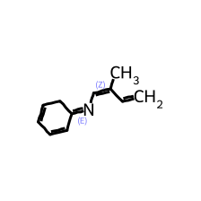 C=C/C(C)=C\N=C1\C=CC=CC1